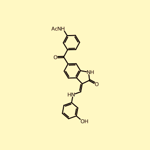 CC(=O)Nc1cccc(C(=O)c2ccc3c(c2)NC(=O)C3=CNc2cccc(O)c2)c1